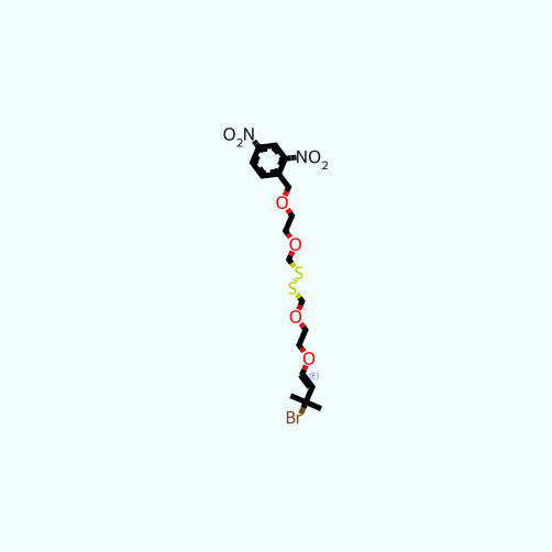 CC(C)(Br)/C=C/OCCOCSSCOCCOCc1ccc([N+](=O)[O-])cc1[N+](=O)[O-]